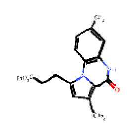 CCOC(=O)CCc1cc(C)c2c(=O)[nH]c3cc(C(F)(F)F)ccc3n12